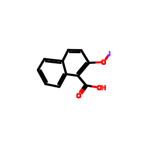 O=C(O)c1c(OI)ccc2ccccc12